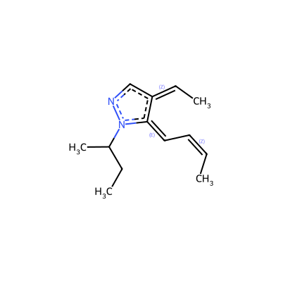 C\C=C/C=c1\c(=C/C)cnn1C(C)CC